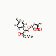 COC(=O)/C(=C/OC1C=C(C)C(=O)O1)c1ccc(C)cc1